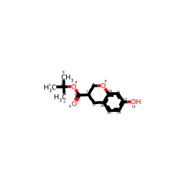 CC(C)(C)OC(=O)C1COc2cc(O)ccc2C1